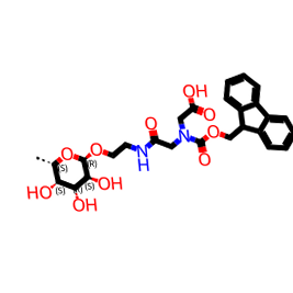 C[C@@H]1O[C@@H](OCCNC(=O)CN(CC(=O)O)C(=O)OCC2c3ccccc3-c3ccccc32)[C@@H](O)[C@H](O)[C@@H]1O